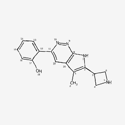 Cc1c(C2CNC2)[nH]c2nnc(-c3ccccc3O)cc12